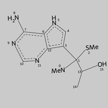 CNC(SC)(c1c[nH]c2c(N)ncnc12)C(C)O